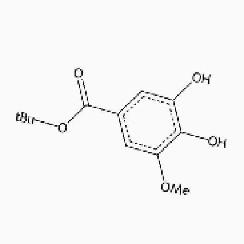 COc1cc(C(=O)OC(C)(C)C)cc(O)c1O